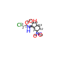 O=C(CCl)N[C@@H]1c2cc([N+](=O)[O-])ccc2CC1O